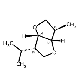 CC(C)[C@H]1CO[C@@H]2[C@H]1OC[C@H]2C